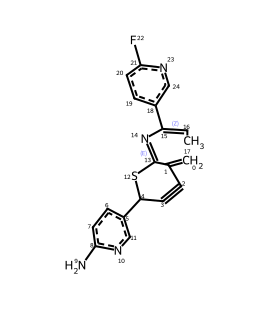 C=C1C#CC(c2ccc(N)nc2)S/C1=N/C(=C\C)c1ccc(F)nc1